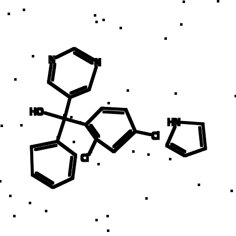 OC(c1ccccc1)(c1cncnc1)c1ccc(Cl)cc1Cl.c1cc[nH]c1